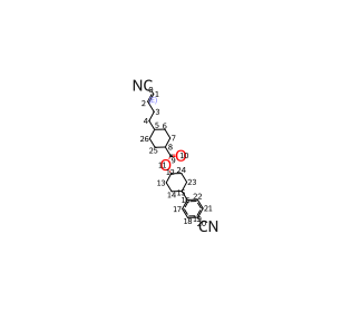 N#C/C=C/CCC1CCC(C(=O)OC2CCC(c3ccc(C#N)cc3)CC2)CC1